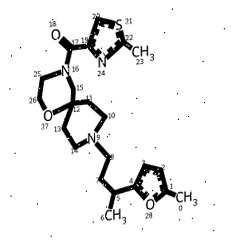 Cc1ccc(C(C)CCN2CCC3(CC2)CN(C(=O)c2csc(C)n2)CCO3)o1